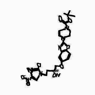 CC(C)(C)OC(=O)N1CCN(c2nc3cc(OC[C@H](O)CCn4cc([N+](=O)[O-])nc4Cl)ccc3o2)CC1